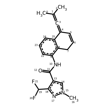 CC(C)=C=C1C=CCc2c(NC(=O)c3cn(C)nc3C(F)F)cccc21